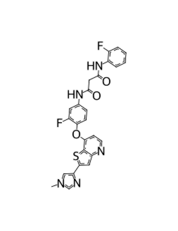 Cn1cnc(-c2cc3nccc(Oc4ccc(NC(=O)CC(=O)Nc5ccccc5F)cc4F)c3s2)c1